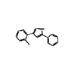 Cc1ccccc1-c1c[nH]c(-c2ccccc2)c1